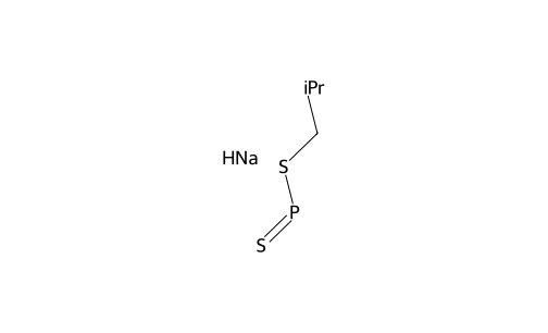 CC(C)CSP=S.[NaH]